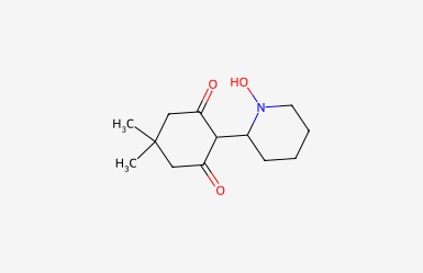 CC1(C)CC(=O)C(C2CCCCN2O)C(=O)C1